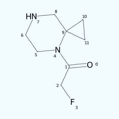 O=C(CF)N1CCNCC12CC2